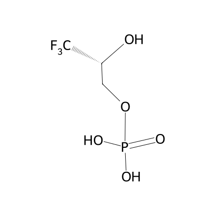 O=P(O)(O)OC[C@@H](O)C(F)(F)F